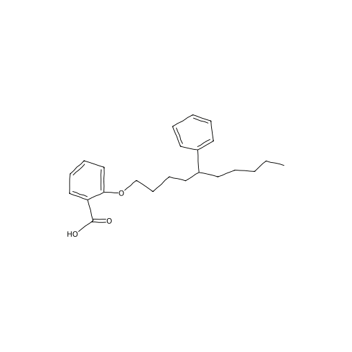 CCCCCC(CCCCOc1ccccc1C(=O)O)c1ccccc1